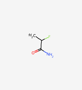 [CH2]C(F)C(N)=O